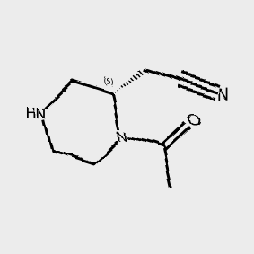 CC(=O)N1CCNC[C@@H]1CC#N